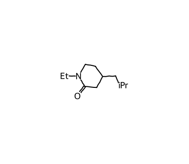 CCN1CCC(CC(C)C)CC1=O